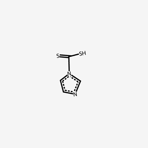 S=C(S)n1ccnc1